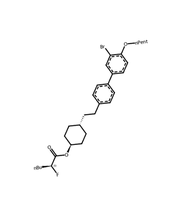 CCCCCOc1ccc(-c2ccc(CC[C@H]3CC[C@H](OC(=O)[C@@H](F)CCCC)CC3)cc2)cc1Br